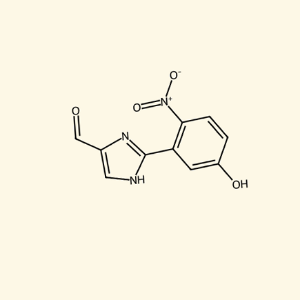 O=Cc1c[nH]c(-c2cc(O)ccc2[N+](=O)[O-])n1